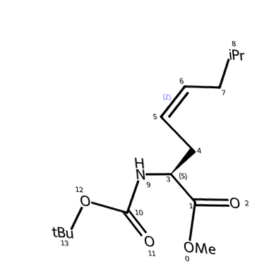 COC(=O)[C@H](C/C=C\CC(C)C)NC(=O)OC(C)(C)C